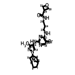 Cc1nn(C2CC3CCC(C2)N3C)cc1Nc1ncc(Br)c(NCCCNC(=O)C2COC2)n1